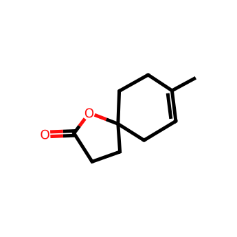 CC1=CCC2(CCC(=O)O2)CC1